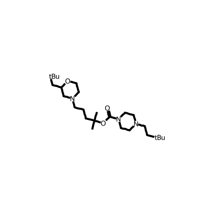 CC(C)(C)CCN1CCN(C(=O)OC(C)(C)CCCN2CCOC(CC(C)(C)C)C2)CC1